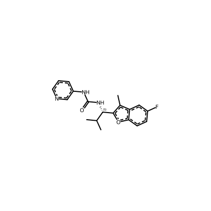 Cc1c([C@@H](NC(=O)Nc2cccnc2)C(C)C)oc2ccc(F)cc12